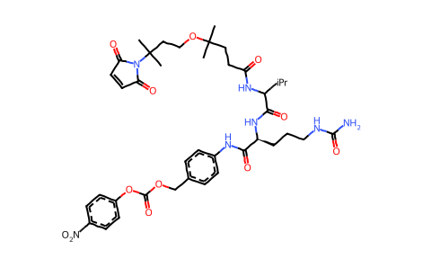 CC(C)C(NC(=O)CCC(C)(C)OCCC(C)(C)N1C(=O)C=CC1=O)C(=O)N[C@@H](CCCNC(N)=O)C(=O)Nc1ccc(COC(=O)Oc2ccc([N+](=O)[O-])cc2)cc1